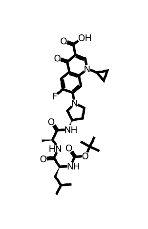 CC(C)C[C@H](NC(=O)OC(C)(C)C)C(=O)N[C@@H](C)C(=O)N[C@H]1CCN(c2cc3c(cc2F)c(=O)c(C(=O)O)cn3C2CC2)C1